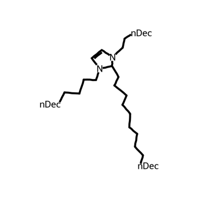 CCCCCCCCCCCCCCCCCCCC1N(CCCCCCCCCCCC)C=CN1CCCCCCCCCCCCCC